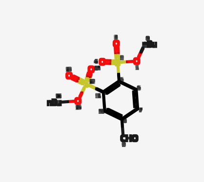 CCCCOS(=O)(=O)c1ccc(C=O)cc1S(=O)(=O)OCCCC